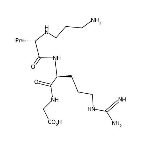 CC(C)[C@H](NCCCN)C(=O)N[C@@H](CCCNC(=N)N)C(=O)NCC(=O)O